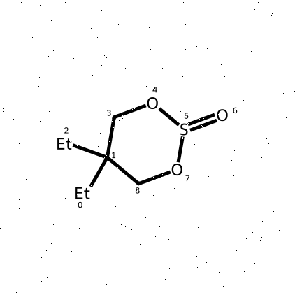 CCC1(CC)COS(=O)OC1